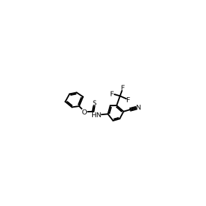 N#Cc1ccc(NC(=S)Oc2ccccc2)cc1C(F)(F)F